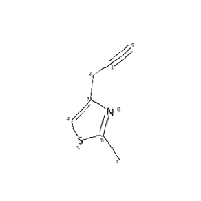 C#CCc1csc(C)n1